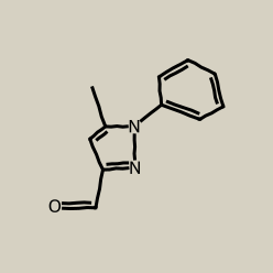 Cc1cc(C=O)nn1-c1ccccc1